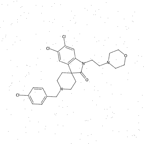 O=C1N(CCN2CCOCC2)c2cc(Cl)c(Cl)cc2C12CCN(Cc1ccc(Cl)cc1)CC2